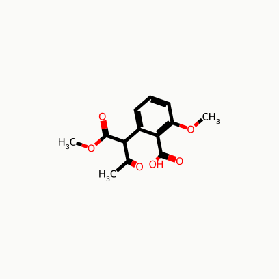 COC(=O)C(C(C)=O)c1cccc(OC)c1C(=O)O